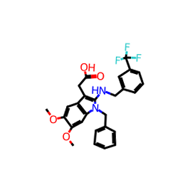 COc1cc2c(CC(=O)O)c(NCc3cccc(C(F)(F)F)c3)n(Cc3ccccc3)c2cc1OC